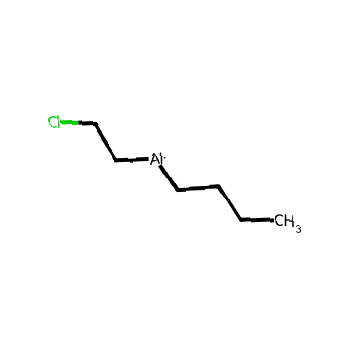 CCC[CH2][Al][CH2]CCl